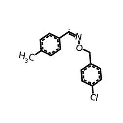 Cc1ccc(/[C]=N\OCc2ccc(Cl)cc2)cc1